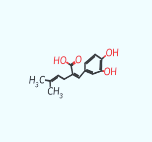 CC(C)=CCC(=Cc1ccc(O)c(O)c1)C(=O)O